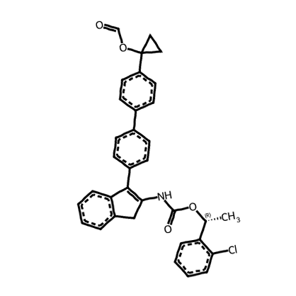 C[C@@H](OC(=O)NC1=C(c2ccc(-c3ccc(C4(OC=O)CC4)cc3)cc2)c2ccccc2C1)c1ccccc1Cl